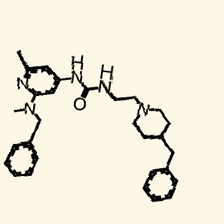 Cc1cc(NC(=O)NCCN2CCC(Cc3ccccc3)CC2)cc(N(C)Cc2ccccc2)n1